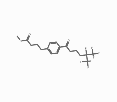 COC(=O)CCCc1ccc(C(=O)CCCC(F)(C(F)(F)F)C(F)(F)F)cc1